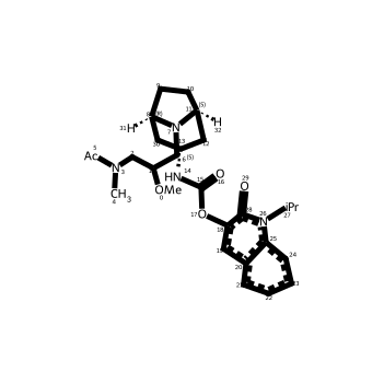 COC(CN(C)C(C)=O)CN1[C@@H]2CC[C@H]1C[C@H](NC(=O)Oc1cc3ccccc3n(C(C)C)c1=O)C2